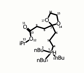 CCCC[PH](CCCC)(CCCC)CCCC1(CCC(=O)OC(C)C)OCCO1